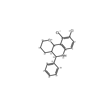 Clc1ccc2c(c1Cl)C1OCCCC1C(c1ccccc1)N2